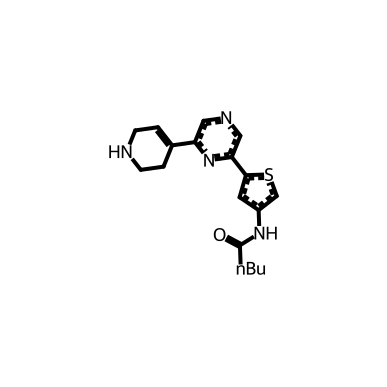 CCCCC(=O)Nc1csc(-c2cncc(C3=CCNCC3)n2)c1